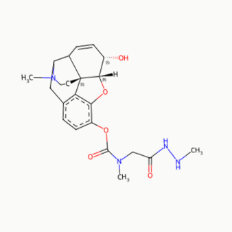 CNNC(=O)CN(C)C(=O)Oc1ccc2c3c1O[C@H]1[C@@H](O)C=CC4C(C2)N(C)CC[C@@]341